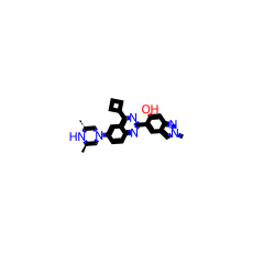 C[C@@H]1CN(c2ccc3nc(-c4cc5cn(C)nc5cc4O)nc(C4CCC4)c3c2)C[C@@H](C)N1